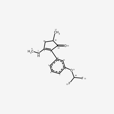 CNC1=C(c2cccc(OC(F)F)c2)C(=O)C(C)C1